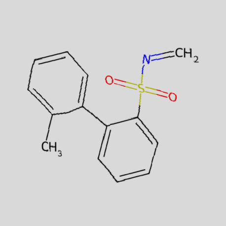 C=NS(=O)(=O)c1ccccc1-c1ccccc1C